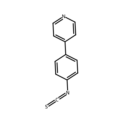 S=C=Nc1ccc(-c2ccncc2)cc1